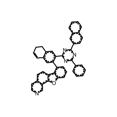 C1=Cc2cc(-c3cccc4oc5c6cnccc6ccc5c34)c(-c3nc(-c4ccccc4)nc(-c4ccc5ccccc5c4)n3)cc2CC1